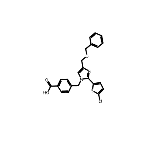 O=C(O)c1ccc(Cn2cc(COCc3ccccc3)nc2-c2ccc(Cl)s2)cc1